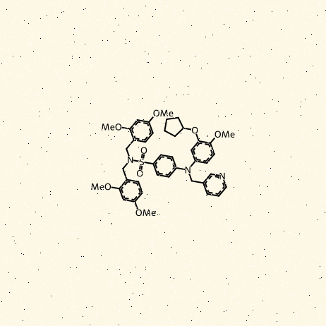 COc1ccc(CN(Cc2ccc(OC)cc2OC)S(=O)(=O)c2ccc(N(Cc3cccnc3)c3ccc(OC)c(OC4CCCC4)c3)cc2)c(OC)c1